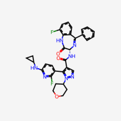 O=C(N[C@H]1N=C(c2ccccc2)c2cccc(F)c2NC1=O)c1cnn(C2CCOCC2)c1-c1ccc(NC2CC2)nc1F